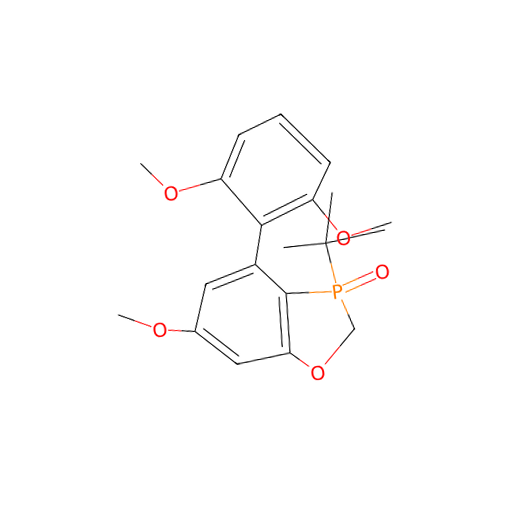 COc1cc2c(c(-c3c(OC)cccc3OC)c1)P(=O)(C(C)(C)C)CO2